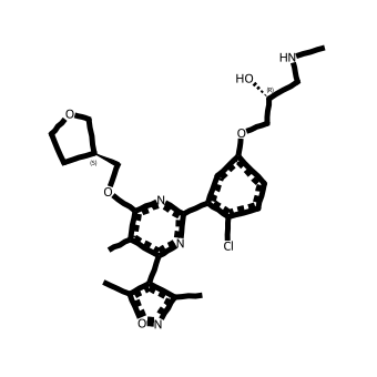 CNC[C@@H](O)COc1ccc(Cl)c(-c2nc(OC[C@H]3CCOC3)c(C)c(-c3c(C)noc3C)n2)c1